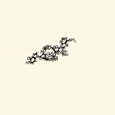 CC(C)(C)[Si](C)(C)OC1[C@H]2OP(=O)(O)OC[C@H]3O[C@@H](n4cnc5c(N)ncnc54)C(O[Si](C)(C)C(C)(C)C)[C@@H]3OP(=O)(O)OC[C@H]1O[C@H]2n1cnc2c(=O)[nH]ccc21